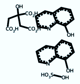 O=C(O)CC(O)(CC(=O)O)C(=O)O.O=S(=O)(O)O.Oc1cccc2cccnc12.Oc1cccc2cccnc12